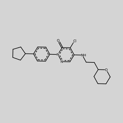 O=c1c(Cl)c(NCCC2CCCCO2)cnn1-c1ccc(C2CCCC2)cc1